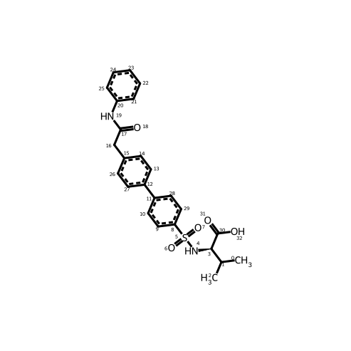 CC(C)[C@@H](NS(=O)(=O)c1ccc(-c2ccc(CC(=O)Nc3ccccc3)cc2)cc1)C(=O)O